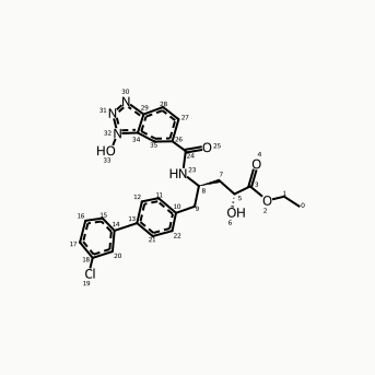 CCOC(=O)[C@H](O)C[C@@H](Cc1ccc(-c2cccc(Cl)c2)cc1)NC(=O)c1ccc2nnn(O)c2c1